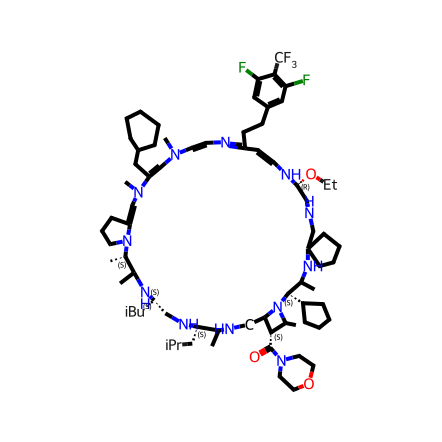 CCO[C@@H]1CNCC2(CCCC2)NC(C)[C@H](C2CCCC2)N2C(C)[C@H](C(=O)N3CCOCC3)C2CNC(C)[C@H](CC(C)C)NC[C@H]([C@@H](C)CC)NC(C)[C@H](C)N2CCCC2=CN(C)C(CC2CCCCC2)=CN(C)C=CN=C(CCc2cc(F)c(C(F)(F)F)c(F)c2)C=CN1